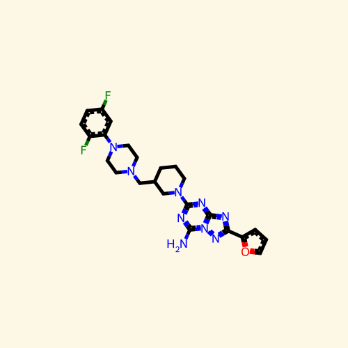 Nc1nc(N2CCCC(CN3CCN(c4cc(F)ccc4F)CC3)C2)nc2nc(-c3ccco3)nn12